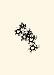 Cn1nncc1-c1ccccc1Oc1cccc(C2(c3ccsc3)CCC(Sc3ccccc3Cl)CN2)n1